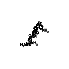 CCN(Cc1ccc(-n2ccc(NC(=O)N3CCN(C(=O)C(C)(C)N)[C@H](N)C3)nc2=O)cc1)C1CCC(N)CC1